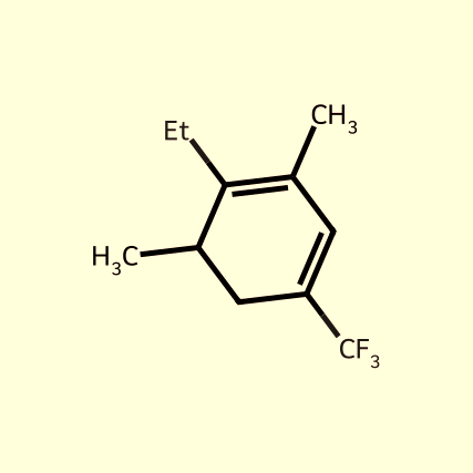 CCC1=C(C)C=C(C(F)(F)F)CC1C